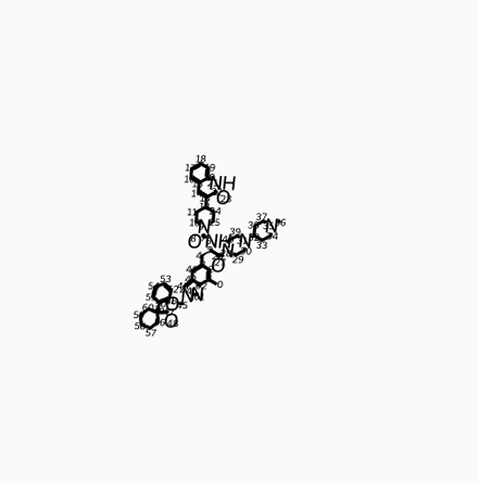 Cc1cc(C[C@@H](NC(=O)N2CCC(c3cc4ccccc4[nH]c3=O)CC2)C(=O)N2CCN(C3CCN(C)CC3)CC2)cc2cn(COC(=O)C3(c4ccccc4)CCCCC3)nc12